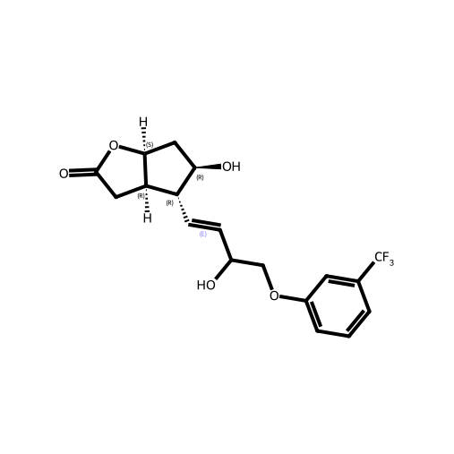 O=C1C[C@@H]2[C@@H](/C=C/C(O)COc3cccc(C(F)(F)F)c3)[C@H](O)C[C@@H]2O1